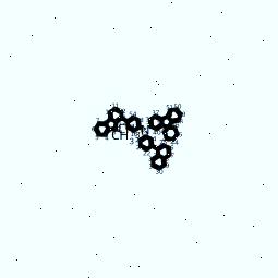 CC1(C)c2ccccc2-c2cccc(-c3ccc(N(c4cccc(-c5cccc6ccccc56)c4)c4ccc5c(c4)C4(CCCCC4)c4ccccc4-5)cc3)c21